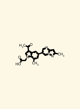 CC(=O)c1cn(CC(=O)O)c2c(C)cc(-c3cnc4cc(C)nn4c3)cc12